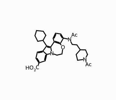 CC(=O)N1CCC(CCN(C(C)=O)c2cccc3c2OCCn2c-3c(C3CCCCC3)c3ccc(C(=O)O)cc32)CC1